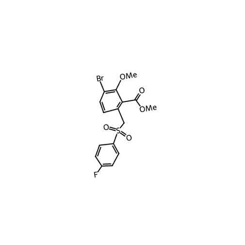 COC(=O)c1c(CS(=O)(=O)c2ccc(F)cc2)ccc(Br)c1OC